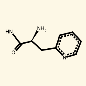 [NH]C(=O)[C@@H](N)Cc1ccccn1